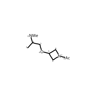 CNC(C)COC1CN(C(C)=O)C1